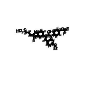 CCOc1ncc2c(n1)N(c1ccc(OC(F)F)cc1)C(O)C(c1ccc3nc(CCCS(=O)(=O)O)n(C)c3c1)=C2